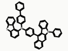 c1ccc(-c2ccc(N(c3ccc(-c4c5ccccc5cc5c4c4ccccc4n5-c4ccccc4)cc3)c3cccc4sc5ccccc5c34)cc2)cc1